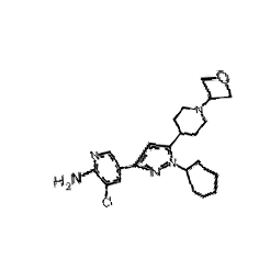 Nc1ncc(-c2cc(C3CCN(C4COC4)CC3)n(C3CCCC3)n2)cc1Cl